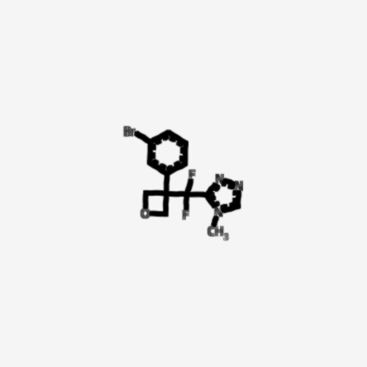 Cn1cnnc1C(F)(F)C1(c2cccc(Br)c2)COC1